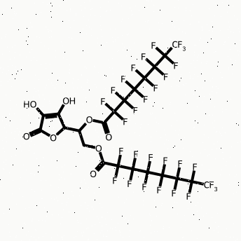 O=C1OC(C(COC(=O)C(F)(F)C(F)(F)C(F)(F)C(F)(F)C(F)(F)C(F)(F)C(F)(F)F)OC(=O)C(F)(F)C(F)(F)C(F)(F)C(F)(F)C(F)(F)C(F)(F)C(F)(F)F)C(O)=C1O